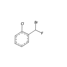 FC(Br)c1ccccc1Cl